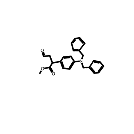 COC(=O)C(CC=O)c1ccc(N(Cc2ccccc2)Cc2ccccc2)cc1